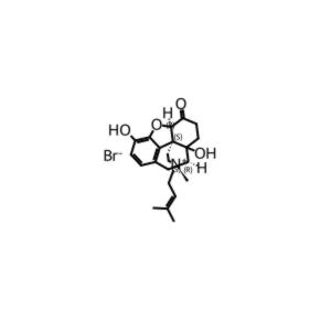 CC(C)=CC[N@+]1(C)CC[C@]23c4c5ccc(O)c4O[C@H]2C(=O)CCC3(O)[C@H]1C5.[Br-]